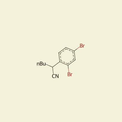 CCCCC(C#N)c1ccc(Br)cc1Br